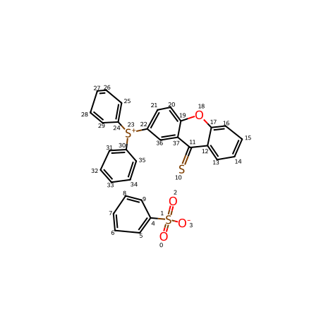 O=S(=O)([O-])c1ccccc1.S=c1c2ccccc2oc2ccc([S+](c3ccccc3)c3ccccc3)cc12